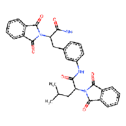 CC(C)CC(C(=O)Nc1cccc(CC(C([NH])=O)N2C(=O)c3ccccc3C2=O)c1)N1C(=O)c2ccccc2C1=O